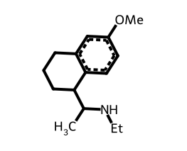 CCNC(C)C1CCCc2cc(OC)ccc21